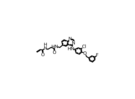 C=CC(=O)NCCC(=O)NCc1ccc2ncnc(Nc3ccc(OCc4cccc(F)c4)c(Cl)c3)c2c1